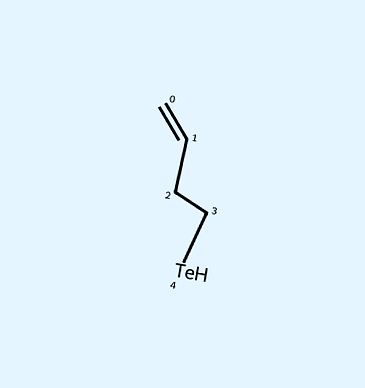 C=CCC[TeH]